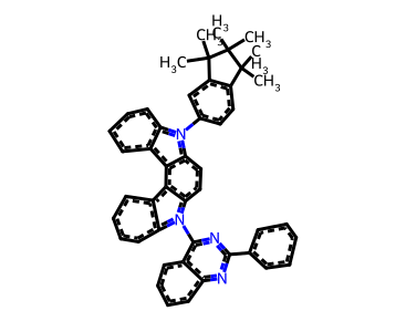 CC1(C)c2ccc(-n3c4ccccc4c4c5c6ccccc6n(-c6nc(-c7ccccc7)nc7ccccc67)c5ccc43)cc2C(C)(C)C1(C)C